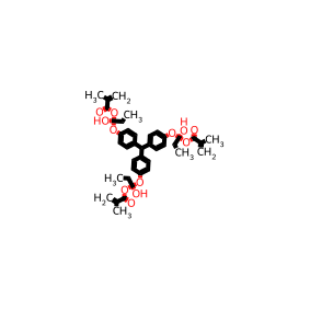 C=C(C)C(=O)OC(O)(CC)Oc1ccc(C(c2ccc(OC(O)(CC)OC(=O)C(=C)C)cc2)c2ccc(OC(O)(CC)OC(=O)C(=C)C)cc2)cc1